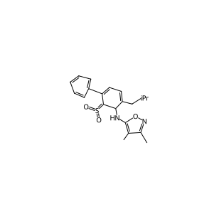 Cc1noc(NC2C(CC(C)C)=CC=C(c3ccccc3)C2=S(=O)=O)c1C